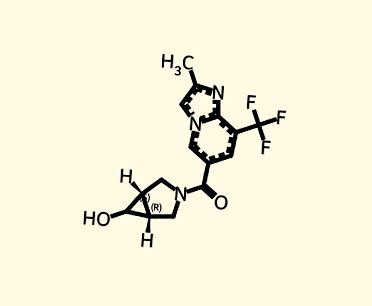 Cc1cn2cc(C(=O)N3C[C@@H]4C(O)[C@@H]4C3)cc(C(F)(F)F)c2n1